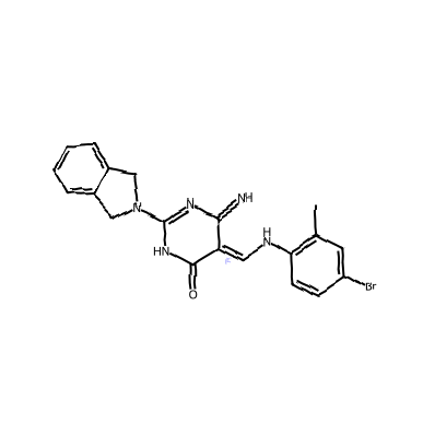 Cc1cc(Br)ccc1N/C=C1\C(=N)N=C(N2Cc3ccccc3C2)NC1=O